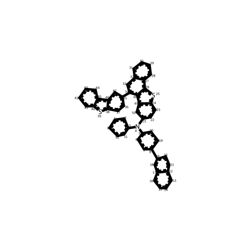 c1ccc(N(c2ccc(-c3ccc4ccccc4c3)cc2)c2ccc3sc4c5ccccc5cc(-c5ccc6sc7ccccc7c6c5)c4c3c2)cc1